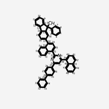 CC1(c2ccccc2)c2ccccc2-c2ccc(-c3ccc(-c4nc(-c5ccc(-c6ccccc6)cc5)cc(-c5cccc6ccccc56)n4)c4ccccc34)cc21